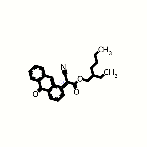 CCCCC(CC)COC(=O)/C(C#N)=c1\cccc2c1=Cc1ccccc1C2=O